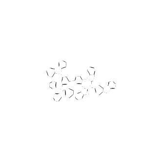 c1ccc([Si](c2ccccc2)(c2ccccc2)c2cc(-c3ccc4c(c3)n3c5ccccc5nc3n(-c3ccc5oc6ccccc6c5c3)c3nc5ccccc5n43)cc(-n3c4ccccc4c4ccccc43)c2)cc1